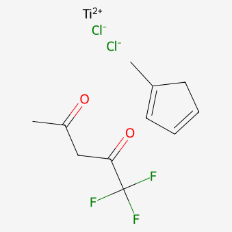 CC(=O)CC(=O)C(F)(F)F.CC1=CC=CC1.[Cl-].[Cl-].[Ti+2]